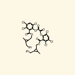 CC(C)CC1C(C)C1COC(=O)c1c(Cl)c(Cl)cc(Cl)c1OC(=O)C(=O)Oc1c(Cl)cc(Cl)c(Cl)c1C(=O)OCC1C(C)C1CC(C)C